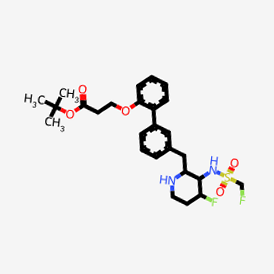 CC(C)(C)OC(=O)CCOc1ccccc1-c1cccc(CC2NCCC(F)C2NS(=O)(=O)CF)c1